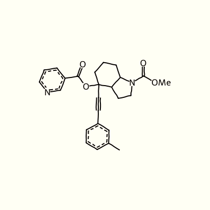 COC(=O)N1CCC2C1CCCC2(C#Cc1cccc(C)c1)OC(=O)c1cccnc1